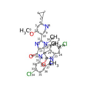 COc1cc(C2CC2)ncc1-c1nc2c(n1C(C)C)C1(C(=O)Nc3cc(Cl)ccc31)N(c1cc(Cl)ccc1C)C2=O